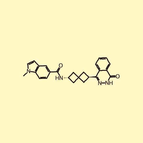 Cn1ccc2cc(C(=O)N[C@H]3CC4(C3)C[C@H](c3n[nH]c(=O)c5ccccc53)C4)ccc21